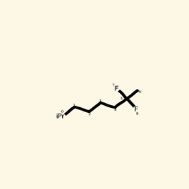 CC(C)CCCCC(C)(F)F